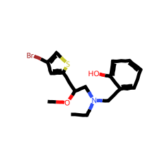 CCN(Cc1ccccc1O)CC(OC)c1cc(Br)cs1